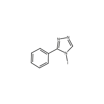 In1cnnc1-c1ccccc1